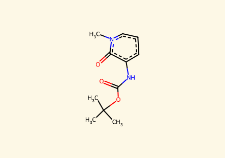 Cn1cccc(NC(=O)OC(C)(C)C)c1=O